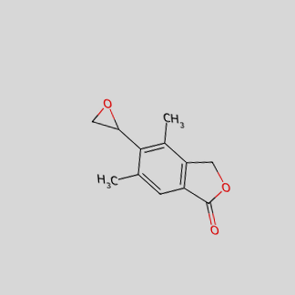 Cc1cc2c(c(C)c1C1CO1)COC2=O